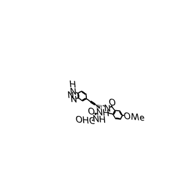 COc1ccc2c(c1)C(=O)N(C[C@@H](C#Cc1ccc3[nH]nnc3c1)NC(=O)NC=O)C2